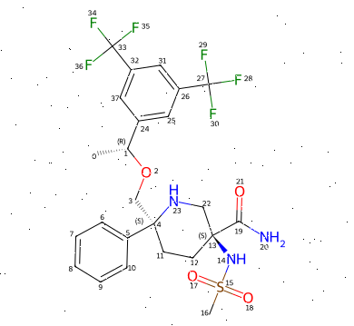 C[C@@H](OC[C@@]1(c2ccccc2)CC[C@@](NS(C)(=O)=O)(C(N)=O)CN1)c1cc(C(F)(F)F)cc(C(F)(F)F)c1